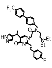 CCN(CC)CCN(Cc1ccc(-c2ccc(C(F)(F)F)cc2)cc1)C(=O)Cn1cc(C(C)c2cn[nH]c2)c(=O)nc1SCc1ccc(F)cc1